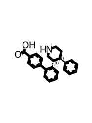 O=C(O)c1ccc(-c2ccccc2[C@@H]2CNCC[C@H]2c2ccccc2)cc1